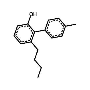 CCCCc1cccc(O)c1-c1ccc(C)cc1